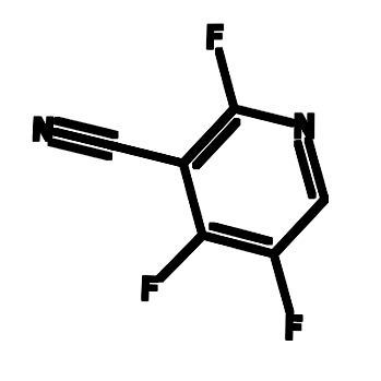 N#Cc1c(F)ncc(F)c1F